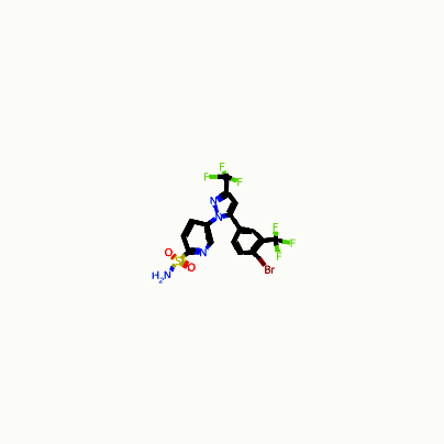 NS(=O)(=O)c1ccc(-n2nc(C(F)(F)F)cc2-c2ccc(Br)c(C(F)(F)F)c2)cn1